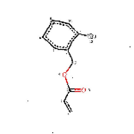 C=CC(=O)OCc1ccccc1C(C)(C)C